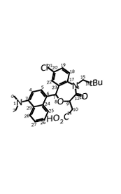 CN(C)c1ccc(C2OC(CC(=O)O)C(=O)N(CC(C)(C)C)c3ccc(Cl)cc32)c2ccccc12